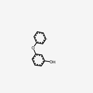 Oc1cccc(Oc2c[c]ccc2)c1